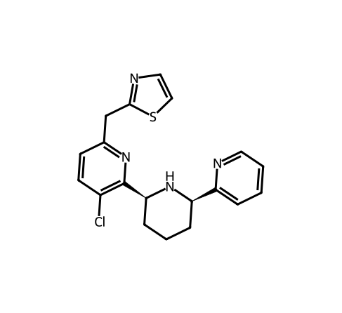 Clc1ccc(Cc2nccs2)nc1[C@@H]1CCC[C@H](c2ccccn2)N1